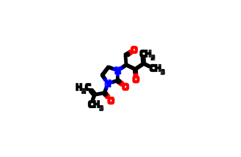 C=C(C)C(=O)C(C=O)N1CCN(C(=O)C(=C)C)C1=O